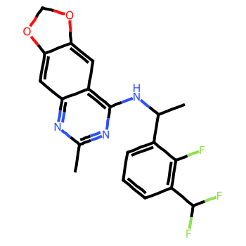 Cc1nc(NC(C)c2cccc(C(F)F)c2F)c2cc3c(cc2n1)OCO3